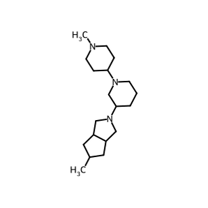 CC1CC2CN(C3CCCN(C4CCN(C)CC4)C3)CC2C1